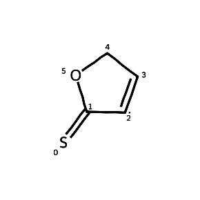 S=C1[C]=CCO1